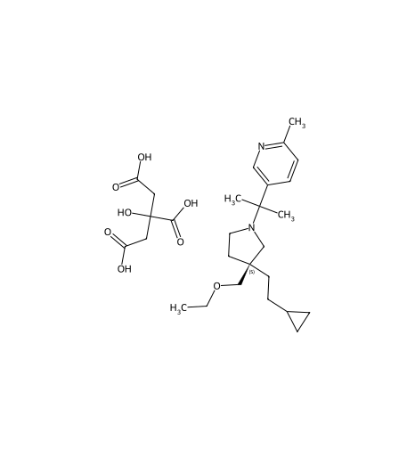 CCOC[C@@]1(CCC2CC2)CCN(C(C)(C)c2ccc(C)nc2)C1.O=C(O)CC(O)(CC(=O)O)C(=O)O